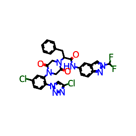 O=C(Nc1ccc2nn(C(F)F)cc2c1)C(Cc1ccccc1)N1CC(=O)N(c2cc(Cl)ccc2-n2cc(Cl)nn2)CC1=O